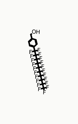 OCc1ccc(C(F)(F)C(F)(F)C(F)(F)C(F)(F)C(F)(F)C(F)(F)C(F)(F)C(F)(F)C(F)(F)C(F)(F)F)cc1